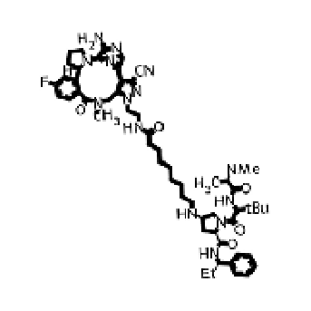 CC[C@H](NC(=O)[C@H]1C[C@@H](NCCCCCCCCC(=O)NCCn2nc(C#N)c3c2CN(C)C(=O)c2ccc(F)cc2[C@H]2CCCN2c2nc-3cnc2N)CN1C(=O)C(NC(=O)[C@@H](C)NC)C(C)(C)C)c1ccccc1